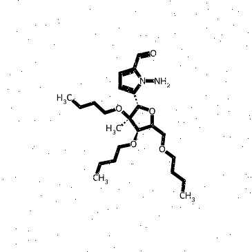 CCCCOCC1O[C@@H](c2ccc(C=O)n2N)[C@](C)(OCCCC)[C@@H]1OCCCC